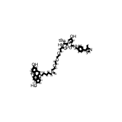 Cc1ncsc1-c1ccc(CNC(=O)[C@@H]2C[C@@H](O)CN2C(=O)[C@@H](NC(=O)CCOCCOCCOCCN(C)CCCCC[C@@H]2Cc3cc(O)ccc3[C@H]3CC[C@]4(C)[C@@H](O)CC[C@H]4[C@H]23)C(C)(C)C)cc1